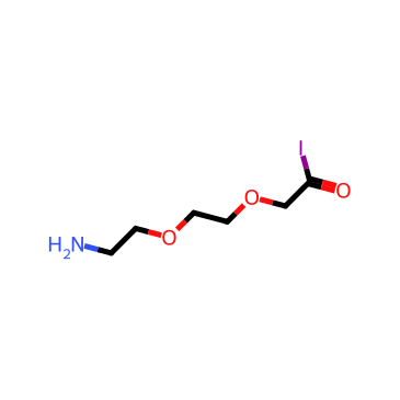 NCCOCCOCC(=O)I